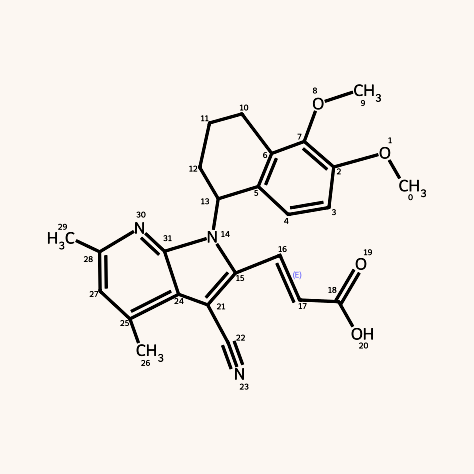 COc1ccc2c(c1OC)CCCC2n1c(/C=C/C(=O)O)c(C#N)c2c(C)cc(C)nc21